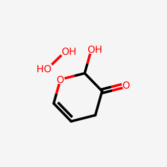 O=C1CC=COC1O.OO